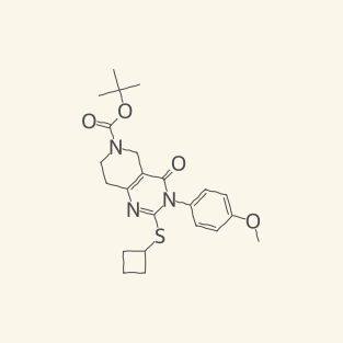 COc1ccc(-n2c(SC3CCC3)nc3c(c2=O)CN(C(=O)OC(C)(C)C)CC3)cc1